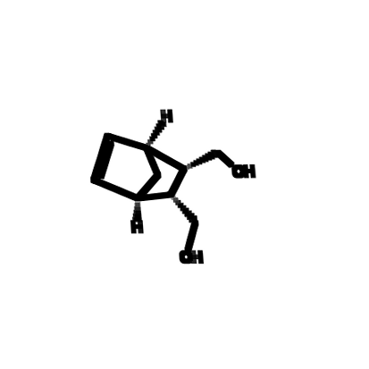 OC[C@@H]1[C@H](CO)[C@H]2C=C[C@@H]1C2